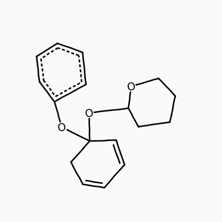 C1=CCC(Oc2ccccc2)(OC2CCCCO2)C=C1